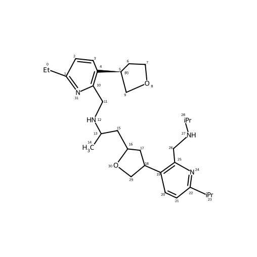 CCc1ccc([C@H]2CCOC2)c(CNC(C)CC2CC(c3ccc(C(C)C)nc3CNC(C)C)CO2)n1